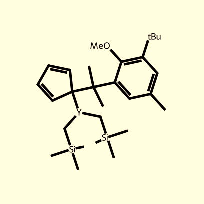 COc1c(C(C)(C)C)cc(C)cc1C(C)(C)[C]1([Y]([CH2][Si](C)(C)C)[CH2][Si](C)(C)C)C=CC=C1